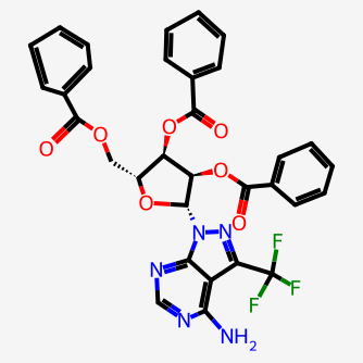 Nc1ncnc2c1c(C(F)(F)F)nn2[C@@H]1O[C@H](COC(=O)c2ccccc2)[C@@H](OC(=O)c2ccccc2)[C@H]1OC(=O)c1ccccc1